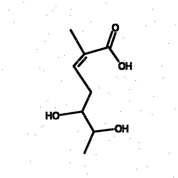 CC(=CCC(O)C(C)O)C(=O)O